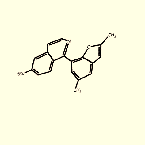 Cc1cc(-c2nccc3cc(C(C)(C)C)ccc23)c2oc(C)cc2c1